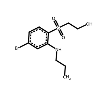 CCCNc1cc(Br)ccc1S(=O)(=O)CCO